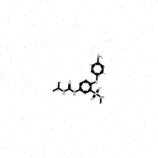 CNS(=O)(=O)c1cc(NC(=O)NC(C)C)ccc1Oc1ccc(N)cc1